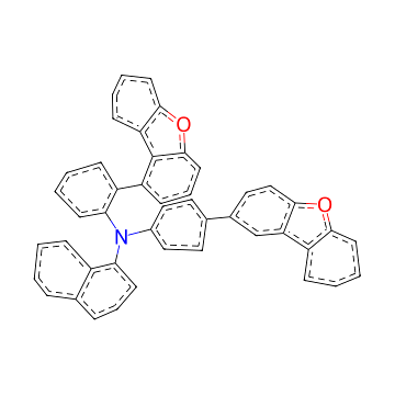 c1ccc(N(c2ccc(-c3ccc4oc5ccccc5c4c3)cc2)c2cccc3ccccc23)c(-c2cccc3oc4ccccc4c23)c1